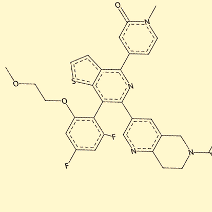 C=CC(=O)N1CCc2ncc(-c3nc(-c4ccn(C)c(=O)c4)c4ccsc4c3-c3c(F)cc(F)cc3OCCOC)cc2C1